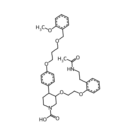 COc1ccccc1COCCCOc1ccc(C2CCN(C(=O)O)CC2OCCOc2ccccc2CCNC(C)=O)cc1